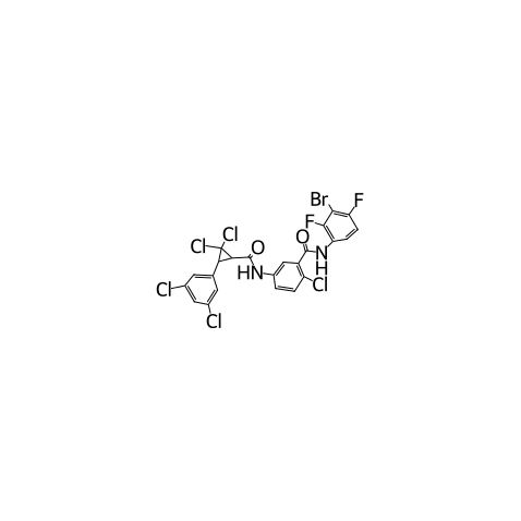 O=C(Nc1ccc(F)c(Br)c1F)c1cc(NC(=O)C2C(c3cc(Cl)cc(Cl)c3)C2(Cl)Cl)ccc1Cl